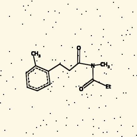 CCC(=O)N(C)C(=O)CCc1ccccc1C